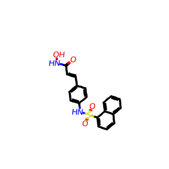 O=C(/C=C/c1ccc(NS(=O)(=O)c2cccc3ccccc23)cc1)NO